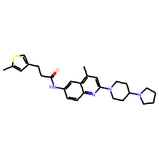 Cc1cc(CCC(=O)Nc2ccc3nc(N4CCC(N5CCCC5)CC4)cc(C)c3c2)cs1